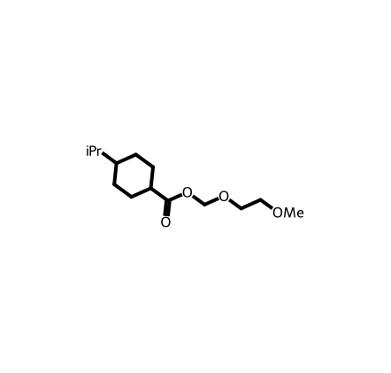 COCCOCOC(=O)C1CCC(C(C)C)CC1